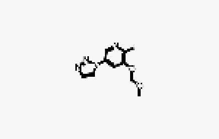 COCOc1cc(-n2ccnn2)cnc1I